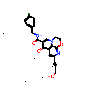 O=C(NCc1ccc(Cl)cc1)c1cn2c3c(nc(C#CCO)cc3c1=O)OCC2